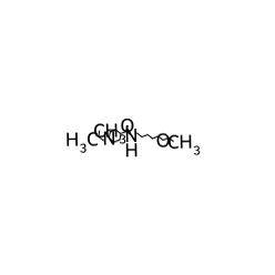 CCOCCCCCNC(=O)C1CCN(CC(C)C)CC1